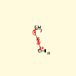 CCCCCC1OC1C/C=C/CCCCCCCC(=O)OCCCCOC(=O)CCCCCCC/C=C/CC1OC1CCCCC